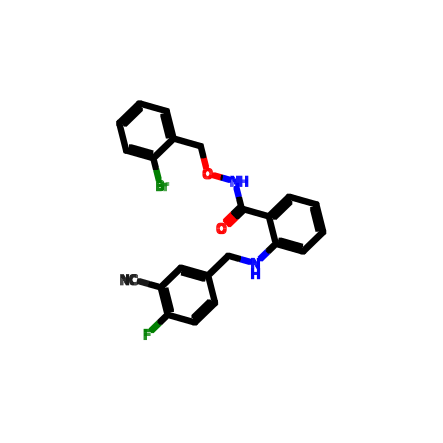 N#Cc1cc(CNc2ccccc2C(=O)NOCc2ccccc2Br)ccc1F